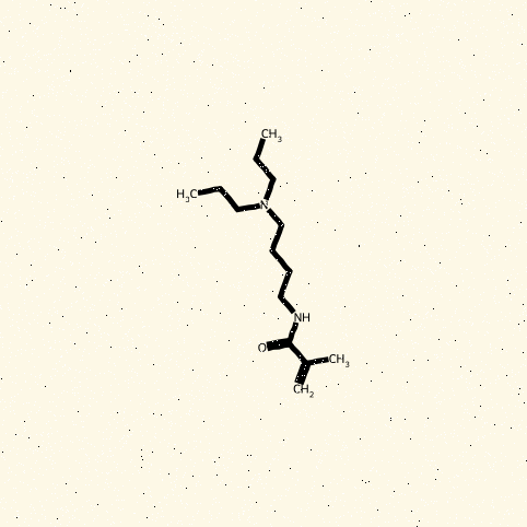 C=C(C)C(=O)NCCCCN(CCC)CCC